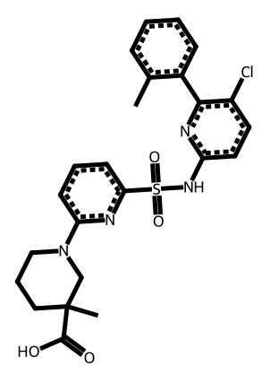 Cc1ccccc1-c1nc(NS(=O)(=O)c2cccc(N3CCCC(C)(C(=O)O)C3)n2)ccc1Cl